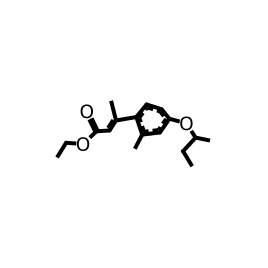 CCOC(=O)C=C(C)c1ccc(OC(C)CC)cc1C